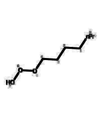 CC[CH]CCCCOOO